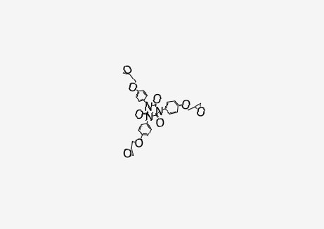 O=c1n(-c2ccc(OCC3CO3)cc2)c(=O)n(-c2ccc(OCC3CO3)cc2)c(=O)n1-c1ccc(OCC2CO2)cc1